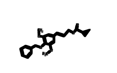 COc1cc(C=CCOC(=O)C2CC2)cc(OC)c1OCc1ccccc1